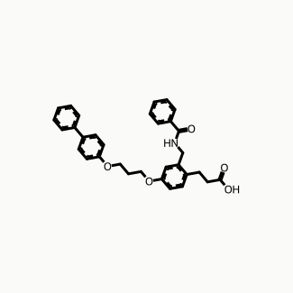 O=C(O)CCc1ccc(OCCCOc2ccc(-c3ccccc3)cc2)cc1CNC(=O)c1ccccc1